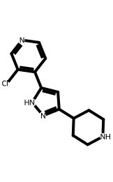 Clc1cnccc1-c1cc(C2CCNCC2)n[nH]1